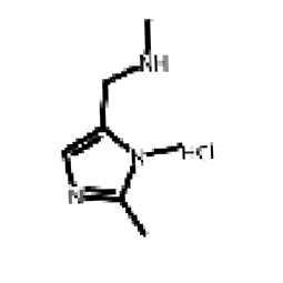 CNCc1cnc(C)n1C.Cl